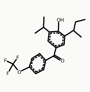 CCC(C)c1cc(C(=O)c2ccc(OC(F)(F)F)cc2)cc(C(C)C)c1O